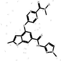 CCN(C)C(=O)c1ncc(Oc2cc(C(=O)Nc3ccn(C)n3)cc3oc(C)cc23)cn1